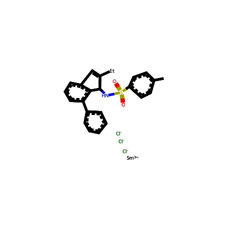 CCC1=Cc2cccc(-c3ccccc3)c2C1NS(=O)(=O)c1ccc(C)cc1.[Cl-].[Cl-].[Cl-].[Sm+3]